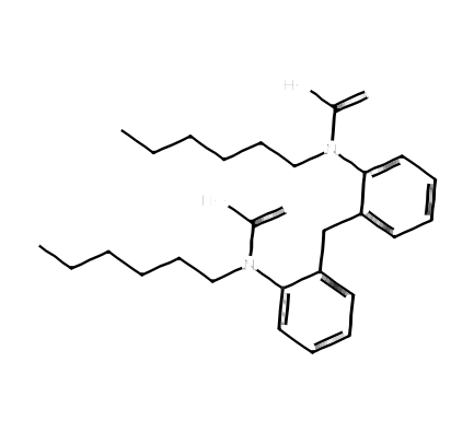 CCCCCCN(C(O)=S)c1ccccc1Cc1ccccc1N(CCCCCC)C(O)=S